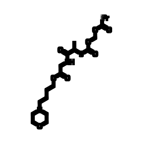 CC(C)C(=O)OCOC(=O)SC(C)C(=O)NCC(=O)OCCCCN1CCOCC1